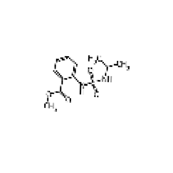 COC(=O)c1ccccc1NS(=O)(=O)NC(C)C